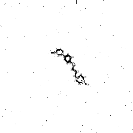 CN1C=CCN(c2ccc(OCCCN3CCN(C)CC3)cc2)C1